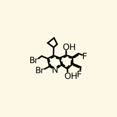 Oc1c(=CF)c(=CF)c(O)c2c(C3CCC3)c(CBr)c(Br)nc12